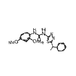 COc1ccc(NC(=O)Nc2nnc(C(C)c3ccccc3)s2)c(OC)c1